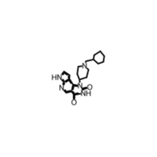 O=c1[nH]c(=O)n(C2CCN(CC3CCCCC3)CC2)c2c1cnc1[nH]ccc12